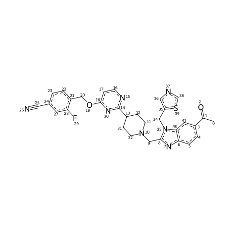 CC(=O)c1ccc2nc(CN3CCC(c4nccc(OCc5ccc(C#N)cc5F)n4)CC3)n(Cc3cncs3)c2c1